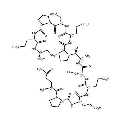 CC(C)C[C@H](NC(=O)[C@H](CCC(=O)O)NC(=O)[C@H](CCC(=O)O)NC(=O)[C@@H]1CCCN1C(=O)[C@@H](N)CCC(N)=O)C(=O)N[C@@H](C)C(=O)N1CCC[C@H]1C(=O)N[C@@H](CCC(=O)O)C(=O)N[C@@H](CC(=O)O)C(=O)N1CCC[C@H]1C(=O)N[C@@H](CCC(=O)O)C(=O)N[C@@H](CC(=O)O)C(=O)O